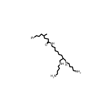 CC(C)CCCC(C)CCC(=O)NCCCCCCC(CNCCCCN)CNCCCCN